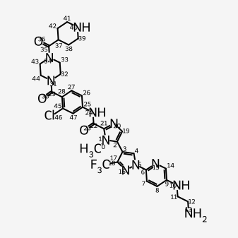 Cn1c(-c2cn(-c3ccc(NCCN)cn3)nc2C(F)(F)F)cnc1C(=O)Nc1ccc(C(=O)N2CCN(C(=O)C3CCNCC3)CC2)c(Cl)c1